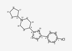 Clc1ccc(-c2csc(C3CCN(C4CCCC4)CC3)n2)cc1